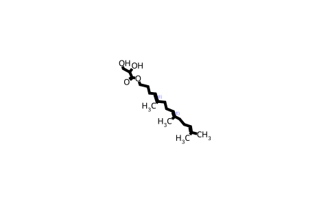 CC(C)=CCC/C(C)=C/CC/C(C)=C/CCCOC(=O)C(O)CO